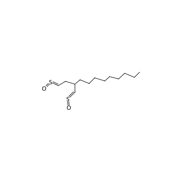 CCCCCCCCCC(C=S=O)CC=S=O